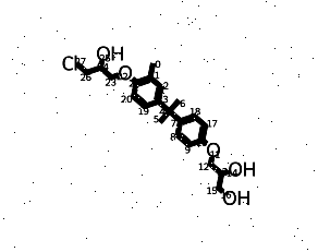 Cc1cc(C(C)(C)c2ccc(OCC(O)CO)cc2)ccc1OCC(O)CCl